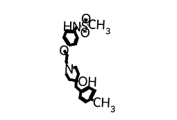 Cc1ccc(CC2(O)CCN(CCOc3ccc(NS(C)(=O)=O)cc3)CC2)cc1